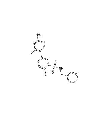 Cc1nc(N)ncc1-c1ccc(Cl)c(S(=O)(=O)NCc2ccccc2)c1